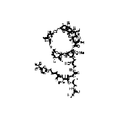 C=C1C[C@@H]2CC[C@@]34C[C@H]5C6[C@@H]7C(O[C@H]8CC[C@H](CC(=O)C[C@@H]9[C@@H](OC)[C@@H](C[C@H](O)CNC(=O)[C@H](CCCNC(N)=O)NC(=O)[C@@H](NC(=O)CCCc%10nnc(S(C)(=O)=O)o%10)C(C)C)O[C@H]9C[C@H]9O[C@@H](CC[C@@H]1O2)C[C@@H](C)C9=C)O[C@@H]8[C@@H]7O3)[C@@]65O4